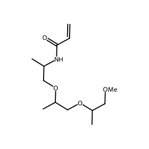 C=CC(=O)NC(C)COC(C)COC(C)COC